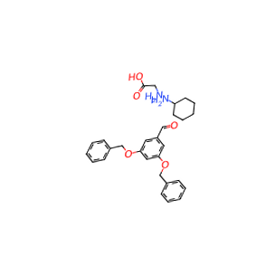 NC1CCCCC1.NCC(=O)O.O=Cc1cc(OCc2ccccc2)cc(OCc2ccccc2)c1